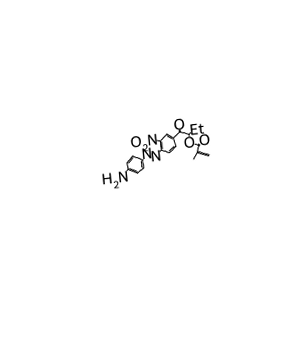 C=C(C)C(=O)OC(CC)C(=O)c1ccc(N=Nc2ccc(N)cc2)c([N+](=O)[O-])c1